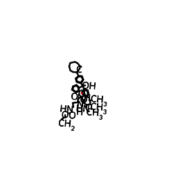 C=CCOC(=O)NCCC(NC(=O)C(NC)C(C)CC)C(=O)NOc1ccccc1C(O)(c1ccccc1)c1ccc(C2CCCCCCCC2)cc1